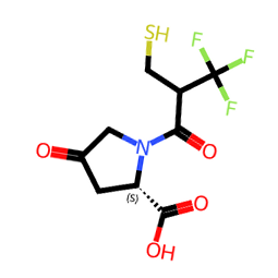 O=C1C[C@@H](C(=O)O)N(C(=O)C(CS)C(F)(F)F)C1